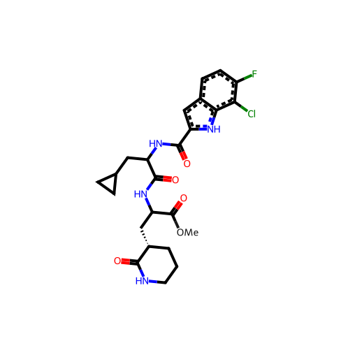 COC(=O)C(C[C@@H]1CCCNC1=O)NC(=O)C(CC1CC1)NC(=O)c1cc2ccc(F)c(Cl)c2[nH]1